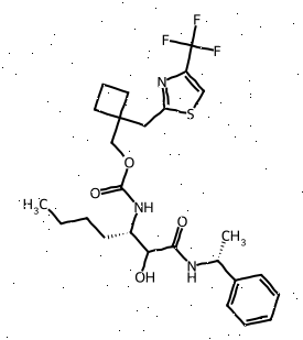 CCCC[C@H](NC(=O)OCC1(Cc2nc(C(F)(F)F)cs2)CCC1)C(O)C(=O)N[C@H](C)c1ccccc1